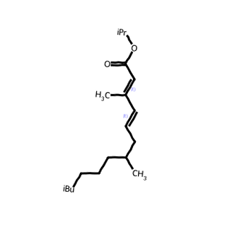 CCC(C)CCCC(C)C/C=C/C(C)=C/C(=O)OC(C)C